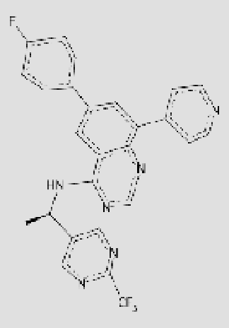 C[C@@H](Nc1ncnc2c(-c3ccncc3)cc(-c3ccc(F)cc3)cc12)c1cnc(C(F)(F)F)nc1